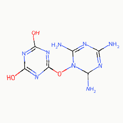 NC1=NC(N)N(Oc2nc(O)nc(O)n2)C(N)=N1